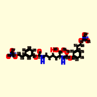 O=C(NCCCCC(NC(=O)Oc1cccc(CCO[N+](=O)[O-])c1)C(=O)O)Oc1cccc(CCO[N+](=O)[O-])c1